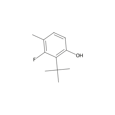 Cc1ccc(O)c(C(C)(C)C)c1F